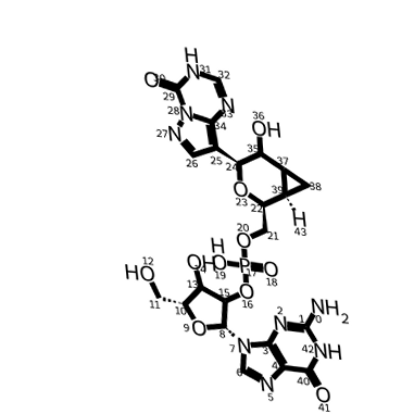 Nc1nc2c(ncn2[C@@H]2O[C@H](CO)C(O)C2OP(=O)(O)OC[C@H]2O[C@@H](c3cnn4c(=O)[nH]cnc34)C(O)C3C[C@H]32)c(=O)[nH]1